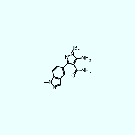 Cn1ncc2cc(-c3nn(C(C)(C)C)c(N)c3C(N)=O)ccc21